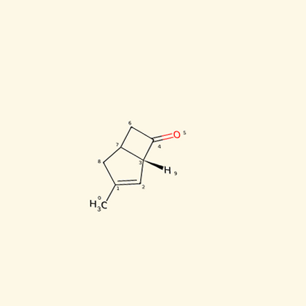 CC1=C[C@H]2C(=O)CC2C1